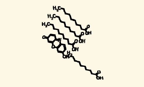 CCCCCCCCCC(=O)O.CCCCCCCCCC(=O)O.CCCCCCCCCC(=O)O.CCCCCCCCCC(=O)O.O=c1ccc2nc3ccc(O)cc3oc-2c1